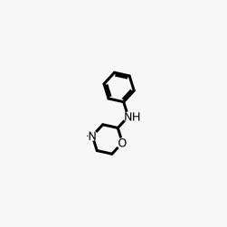 c1ccc(NC2C[N]CCO2)cc1